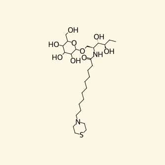 CC[C@@H](O)[C@@H](O)[C@H](COC1OC(CO)C(O)C(O)C1O)NC(=O)CCCCCCCCCCN1CCSCC1